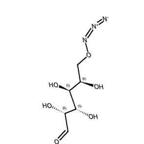 [N-]=[N+]=NOC[C@@H](O)[C@H](O)[C@H](O)[C@@H](O)C=O